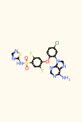 Nc1ncnc2c1ncn2-c1cc(Cl)ccc1Oc1cc(F)c(S(=O)(=O)Nc2ncns2)cc1F